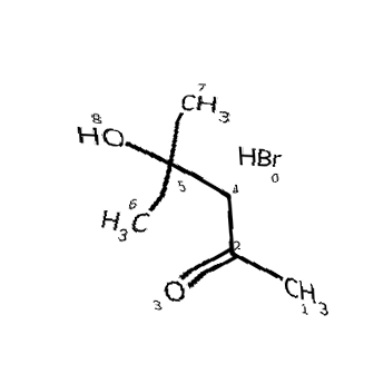 Br.CC(=O)CC(C)(C)O